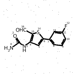 NC(=O)Nc1cc(-c2cccc(F)c2)sc1C=O